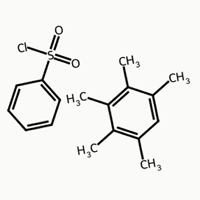 Cc1cc(C)c(C)c(C)c1C.O=S(=O)(Cl)c1ccccc1